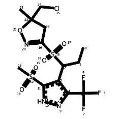 CCC(c1c(C(F)(F)F)n[nH]c1S(C)(=O)=O)S(=O)(=O)C1=NOC(C)(CCl)C1